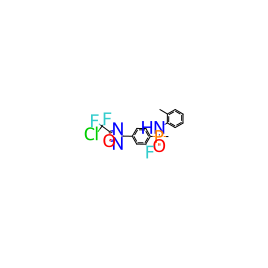 Cc1ccccc1NP(C)(=O)c1ccc(-c2noc(C(F)(F)Cl)n2)cc1F